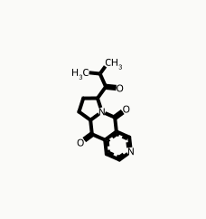 CC(C)C(=O)C1CCC2C(=O)c3ccncc3C(=O)N21